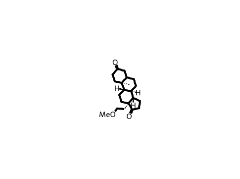 COCC[C@]12CC[C@H]3[C@@H](CCC4CC(=O)CC[C@@]43C)[C@@H]1CCC2=O